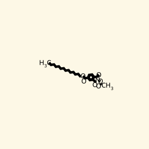 CCCCCCCCCCCCCCOC(=O)c1ccc2c(c1)C(=O)N(OC(C)=O)C2=O